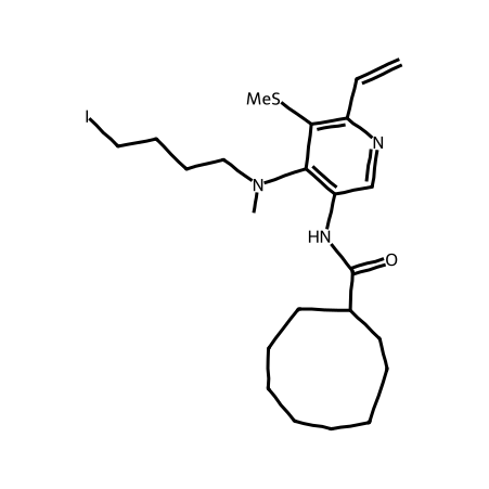 C=Cc1ncc(NC(=O)C2CCCCCCCC2)c(N(C)CCCCI)c1SC